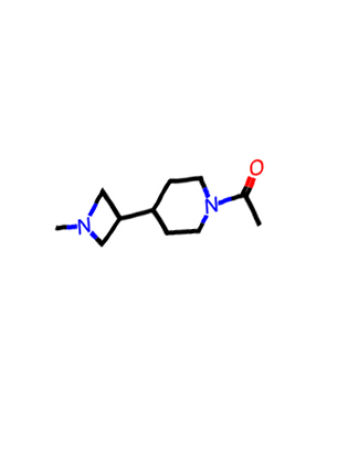 CC(=O)N1CCC(C2CN(C)C2)CC1